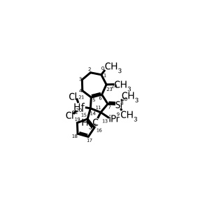 CC1CCCC2=C(C(=[Si](C)C)C(C)(C(C)C)[C]2(C2=CC=CC2)[Hf]([Cl])[Cl])C1C